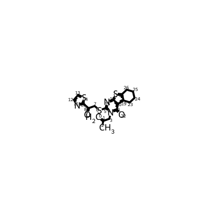 C=C(C)Cn1c(SCC(=O)c2nccs2)nc2sc3c(c2c1=O)CCCC3